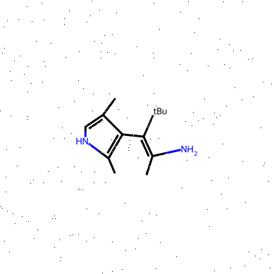 C/C(N)=C(\c1c(C)c[nH]c1C)C(C)(C)C